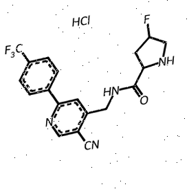 Cl.N#Cc1cnc(-c2ccc(C(F)(F)F)cc2)cc1CNC(=O)C1CC(F)CN1